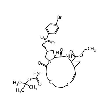 CCOC(=O)C12CC1/C=C\CCCCC[C@H](NC(=O)OC(C)(C)C)C(=O)N1C[C@@H](OS(=O)(=O)c3ccc(Br)cc3)C[C@H]1C(=O)N2